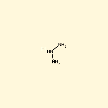 I.NNN